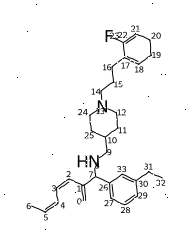 C=C(/C=C\C=C/C)C(NCC1CCN(CCCC2=CCCC=C2F)CC1)c1cccc(CC)c1